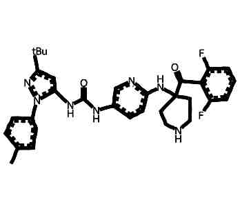 Cc1ccc(-n2nc(C(C)(C)C)cc2NC(=O)Nc2ccc(NC3(C(=O)c4c(F)cccc4F)CCNCC3)nc2)cc1